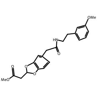 COC(=O)CC1Oc2ccc(CC(=O)NCCc3cccc(OC)c3)cc2O1